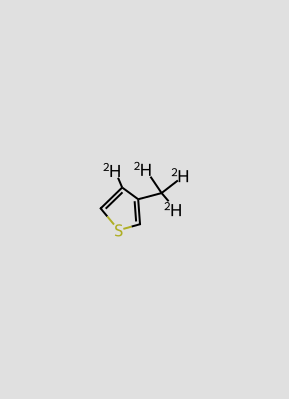 [2H]c1cscc1C([2H])([2H])[2H]